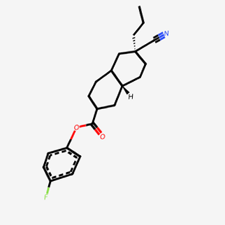 CCC[C@]1(C#N)CC[C@@H]2CC(C(=O)Oc3ccc(F)cc3)CCC2C1